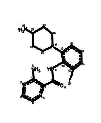 Nc1nccnc1C(=O)Nc1c(F)cccc1N1CCC(N)CC1